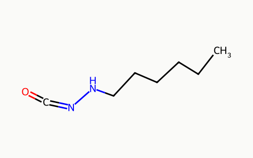 CCCCCCNN=C=O